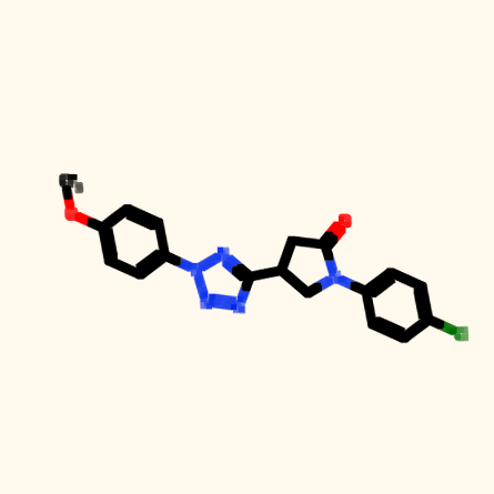 O=C1CC(c2nnn(-c3ccc(OC(F)(F)F)cc3)n2)CN1c1ccc(Cl)cc1